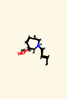 CCCCN1CCCC[C@H](O)C1